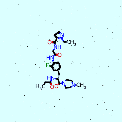 CCC(=O)N[C@H](Cc1ccc(NC(=O)CNC(=O)c2ccnn2CC)c(F)c1)C(=O)N1CCN(C)CC1